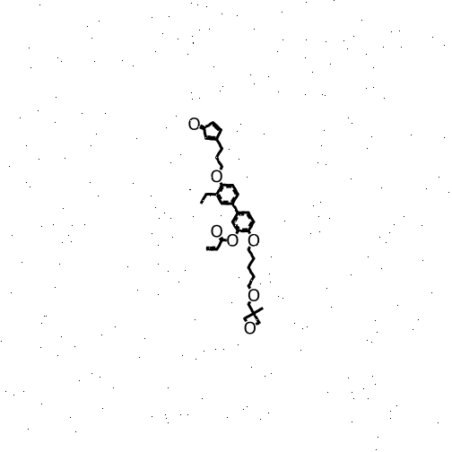 C=CC(=O)Oc1cc(-c2ccc(OCCCC3=CC(=O)C=C3)c(CC)c2)ccc1OCCCCCOCC1(C)COC1